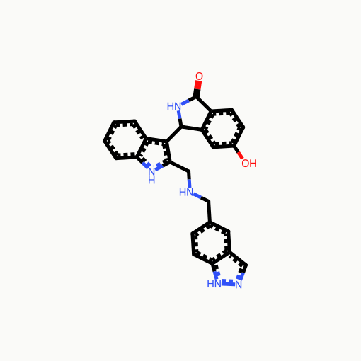 O=C1NC(c2c(CNCc3ccc4[nH]ncc4c3)[nH]c3ccccc23)c2cc(O)ccc21